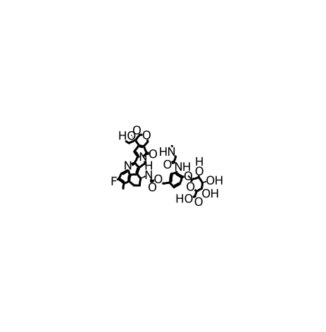 CC[C@@]1(O)C(=O)OCc2c1cc1n(c2=O)Cc2c-1nc1cc(F)c(C)c3c1c2[C@@H](NC(=O)OCc1ccc(O[C@@H]2OC(C(=O)O)[C@@H](O)[C@H](O)C2O)c(NC(=O)CNC)c1)CC3